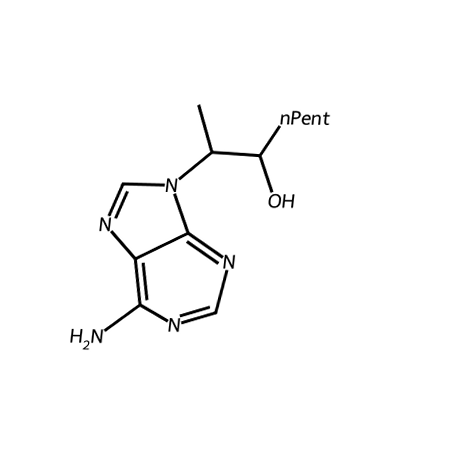 CCCCCC(O)C(C)n1cnc2c(N)ncnc21